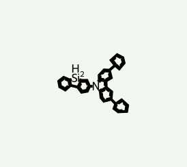 c1ccc(-c2ccc3c(c2)c2cc(-c4ccccc4)ccc2n3-c2ccc3c(c2)[SiH2]c2ccccc2-3)cc1